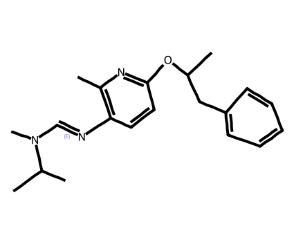 Cc1nc(OC(C)Cc2ccccc2)ccc1/N=C/N(C)C(C)C